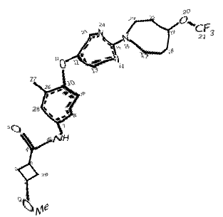 COC1CC(C(=O)Nc2ccc(Oc3cnc(N4CCC(OC(F)(F)F)CC4)nc3)c(C)c2)C1